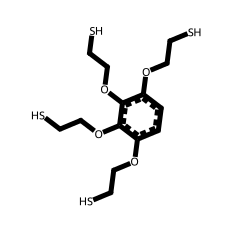 SCCOc1ccc(OCCS)c(OCCS)c1OCCS